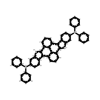 c1ccc(N(c2ccccc2)c2ccc3c(c2)sc2c4cccc5c6c7ccc(N(c8ccccc8)c8ccccc8)cc7sc6c6cccc(c32)c6c45)cc1